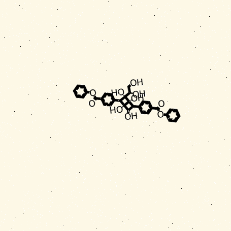 O=C(Oc1ccccc1)c1ccc(C2C(O)[C@@]3(O)C(c4ccc(C(=O)Oc5ccccc5)cc4)[C@@](O)([C@H](O)CO)[C@@]23O)cc1